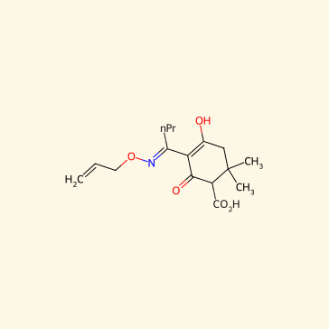 C=CCON=C(CCC)C1=C(O)CC(C)(C)C(C(=O)O)C1=O